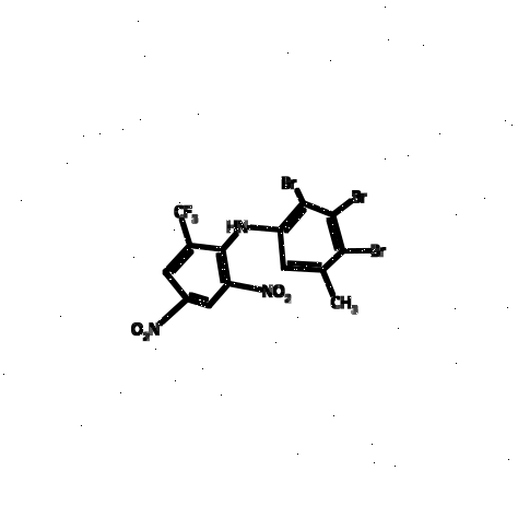 Cc1cc(Nc2c([N+](=O)[O-])cc([N+](=O)[O-])cc2C(F)(F)F)c(Br)c(Br)c1Br